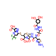 CC(C)(ON=C(C(=O)NC1C(=O)N2C(C(=O)O)=C(CSc3cc(C(F)(F)F)nc4c(C(=O)O)cnn34)CS[C@@H]12)c1csc(N)n1)C(=O)NNC(=O)c1ccc(O)c(O)c1